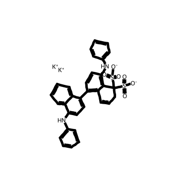 O=S(=O)([O-])C1(S(=O)(=O)[O-])CC=Cc2c(-c3ccc(Nc4ccccc4)c4ccccc34)ccc(Nc3ccccc3)c21.[K+].[K+]